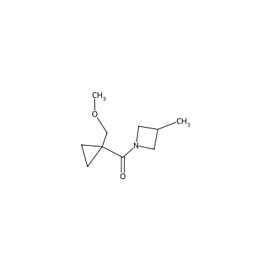 COCC1(C(=O)N2CC(C)C2)CC1